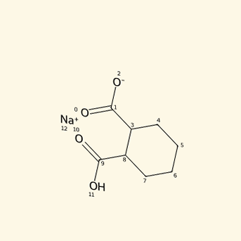 O=C([O-])C1CCCCC1C(=O)O.[Na+]